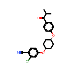 CC(C)C(=O)c1ccc(O[C@H]2CC[C@H](Oc3ccc(C#N)c(Cl)c3)CC2)cc1